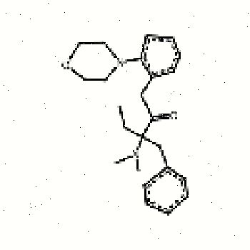 CCC(Cc1ccccc1)(C(=O)Cc1ccccc1N1CCOCC1)N(C)C